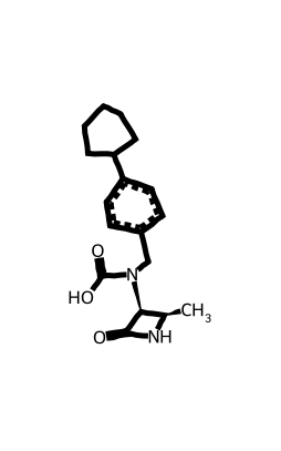 C[C@H]1NC(=O)[C@H]1N(Cc1ccc(C2CCCCC2)cc1)C(=O)O